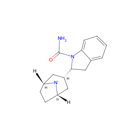 CN1[C@@H]2CC[C@H]1C[C@@H](C1Cc3ccccc3N1C(N)=O)C2